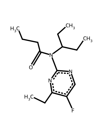 CCCC(=O)N(c1ncc(F)c(CC)n1)C(CC)CC